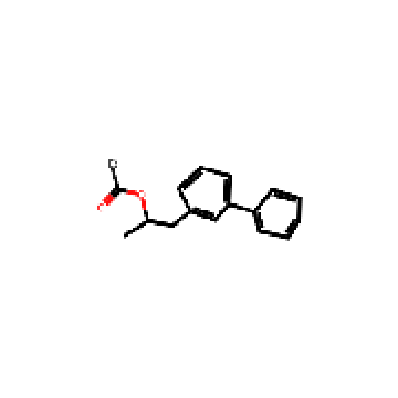 CCC(=O)OC(C)Cc1cccc(-c2ccccc2)c1